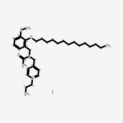 CCCCCCCCCCCCCCOc1c(CN(Cc2cc[n+](CCC)cc2)C(C)=O)cccc1OC.[I-]